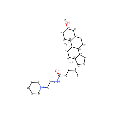 CC(CCC(=O)NCCN1CCCCC1)[C@H]1CCC2C3CCC4C[C@H](O)CC[C@]4(C)C3CC[C@@]21C